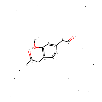 COc1cc(CC=O)ccc1CC(C)=O